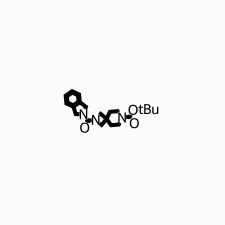 CC(C)(C)OC(=O)N1CCC2(CC1)CN(C(=O)N1Cc3ccccc3C1)C2